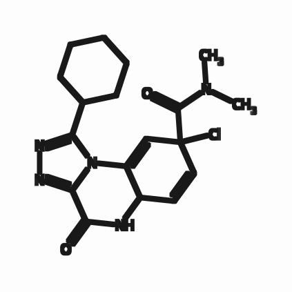 CN(C)C(=O)C1(Cl)C=CC2NC(=O)c3nnc(C4CCCCC4)n3C2=C1